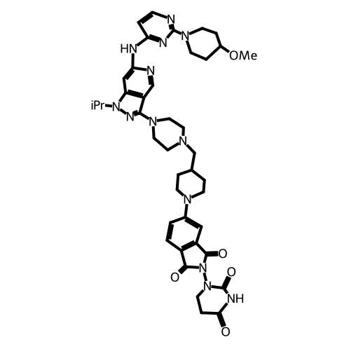 COC1CCN(c2nccc(Nc3cc4c(cn3)c(N3CCN(CC5CCN(c6ccc7c(c6)C(=O)N(N6CCC(=O)NC6=O)C7=O)CC5)CC3)nn4C(C)C)n2)CC1